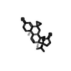 CC1C2CC3(CC3)C3=CC(=O)CC[C@]3(C)C2C=C[C@]1(C)[C@@]1(C(C)C)CCC(=O)O1